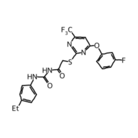 CCc1ccc(NC(=O)NC(=O)CSc2nc(Oc3cccc(F)c3)cc(C(F)(F)F)n2)cc1